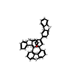 c1cc(-c2ccc3oc4ccccc4c3c2)cc(-c2cccc3sc4cccc(-c5cccc6sc7ccccc7c56)c4c23)c1